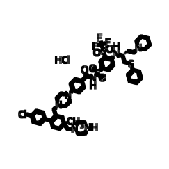 C[C@@]1(CN2CCNCC2)CCC(c2ccc(Cl)cc2)=C(CN2CCN(c3ccc(C(=O)NS(=O)(=O)c4ccc(N[C@H](CCN5CCCCC5)CSc5ccccc5)c(S(=O)(=O)C(F)(F)F)c4)cc3)CC2)C1.Cl